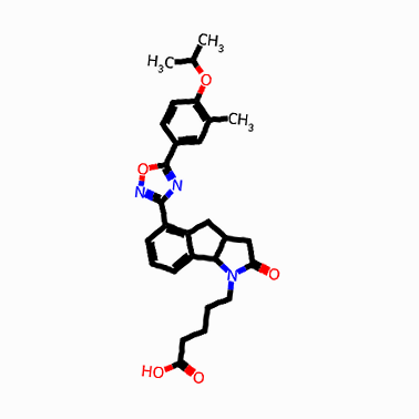 Cc1cc(-c2nc(-c3cccc4c3CC3CC(=O)N(CCCCC(=O)O)C43)no2)ccc1OC(C)C